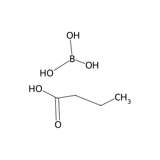 CCCC(=O)O.OB(O)O